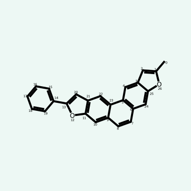 Cc1cc2cc3c(ccc4cc5oc(-c6ccccc6)cc5cc43)cc2o1